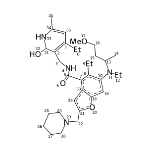 CCC1=C(CNC(=O)c2c(CC)c(N(CC)C(C)CCOC)cc3oc(CN4CCCCC4)cc23)C(O)NC(C)=C1